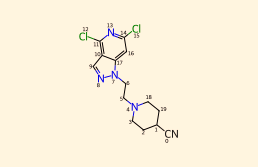 N#CC1CCN(CCn2ncc3c(Cl)nc(Cl)cc32)CC1